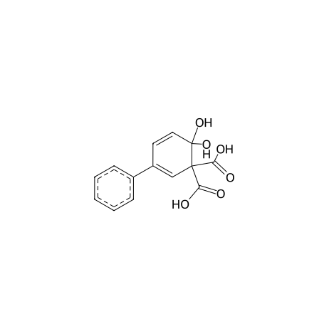 O=C(O)C1(C(=O)O)C=C(c2ccccc2)C=CC1(O)O